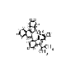 CC(C)C1c2ccccc2-c2ccccc21.[Cl-].[Cl-].[Zr+2][CH]1c2ccccc2-c2c1ccc1ccccc21